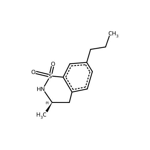 CCCc1ccc2c(c1)S(=O)(=O)N[C@H](C)C2